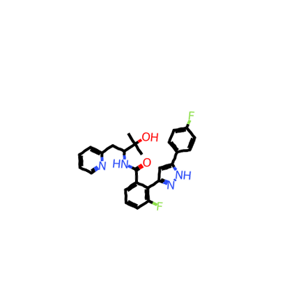 CC(C)(O)C(Cc1ccccn1)NC(=O)c1cccc(F)c1-c1cc(-c2ccc(F)cc2)[nH]n1